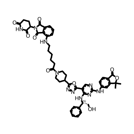 CC1(C)OC(=O)c2ccc(Nc3ncc(-c4nnc(C5CCN(C(=O)CCCCCNc6cccc7c6C(=O)N(C6CCC(=O)NC6=O)C7=O)CC5)o4)c(N[C@H](CO)c4ccccc4)n3)cc21